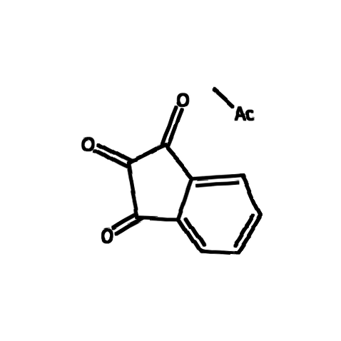 CC(C)=O.O=c1c(=O)c2ccccc2c1=O